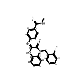 CNC(=O)c1ccc(N=c2oc3ccccc3n(Cc3ccccc3F)c2=O)cc1